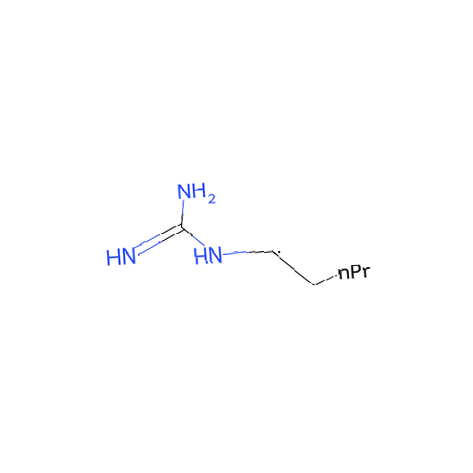 CCCC[CH]NC(=N)N